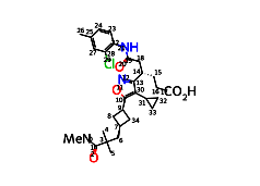 CNC(=O)C(C)(C)C[C@H]1C[C@@H](c2onc([C@@H](CCC(=O)O)CC(=O)Nc3ccc(C)cc3Cl)c2C2CC2)C1